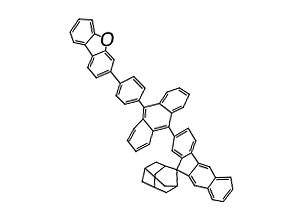 c1ccc2cc3c(cc2c1)-c1ccc(-c2c4ccccc4c(-c4ccc(-c5ccc6c(c5)oc5ccccc56)cc4)c4ccccc24)cc1C31C2CC3CC(C2)CC1C3